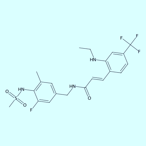 CCNc1cc(C(F)(F)F)ccc1C=CC(=O)NCc1cc(C)c(NS(C)(=O)=O)c(F)c1